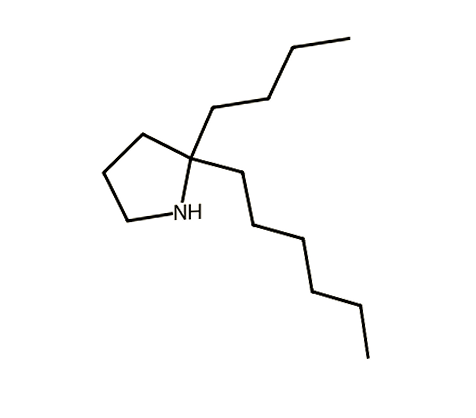 CCCCCCC1(CCCC)CCCN1